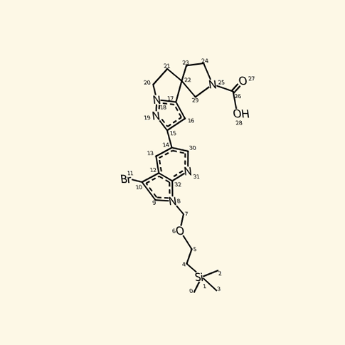 C[Si](C)(C)CCOCn1cc(Br)c2cc(-c3cc4n(n3)CCC43CCN(C(=O)O)C3)cnc21